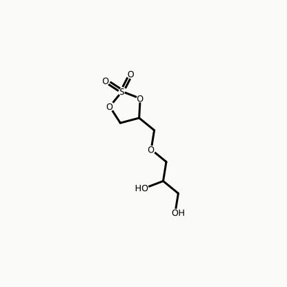 O=S1(=O)OCC(COCC(O)CO)O1